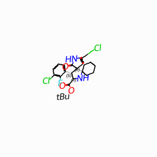 CC(C)(C)OC(=O)[C@@H]1NC2(CCCCC2)[C@@]2(C(=O)Nc3cc(Cl)ccc32)[C@H]1c1cccc(Cl)c1F